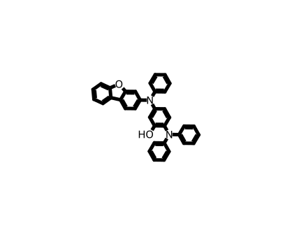 Oc1cc(N(c2ccccc2)c2ccc3c(c2)oc2ccccc23)ccc1N(c1ccccc1)c1ccccc1